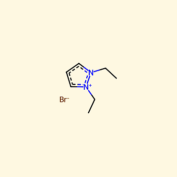 CCn1ccc[n+]1CC.[Br-]